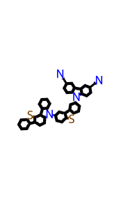 N#Cc1ccc2c(c1)c1cc(C#N)ccc1n2-c1ccc2sc3ccc(-n4c5ccccc5c5c6sc7ccccc7c6ccc54)cc3c2c1